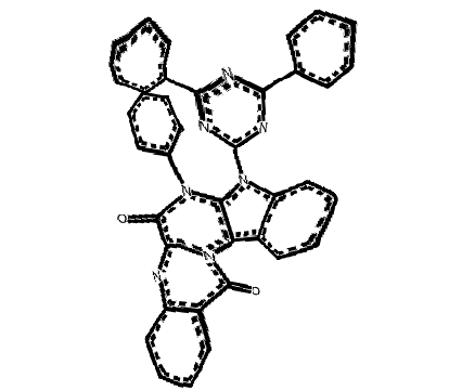 O=c1c2nc3ccccc3c(=O)n2c2c3ccccc3n(-c3nc(-c4ccccc4)nc(-c4ccccc4)n3)c2n1-c1ccccc1